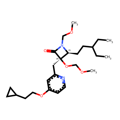 CCC(CC)CC[C@@H]1N(COC)C(=O)[C@]1(Cc1cc(OCCC2CC2)ccn1)OCOC